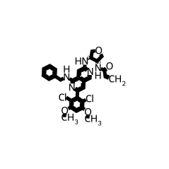 C=CC(=O)N[C@H]1COC[C@H]1Nc1cc2c(NCc3ccccc3)nc(-c3c(Cl)c(OC)cc(OC)c3Cl)cc2cn1